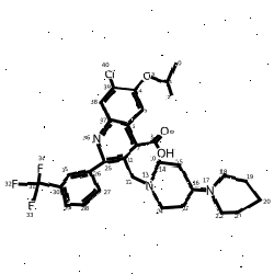 CC(C)Oc1cc2c(C(=O)O)c(CN3CCC(N4CCCCC4)CC3)c(-c3cccc(C(F)(F)F)c3)nc2cc1Cl